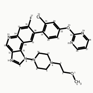 COCCN1CCN(n2cnc3cnc4cc(F)c(-c5ccc(Oc6ncccn6)cc5Cl)cc4c32)CC1